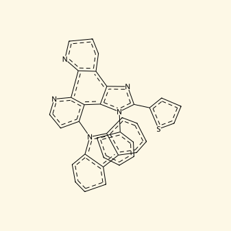 c1ccc(-n2c(-c3cccs3)nc3c4cccnc4c4nccc(-n5c6ccccc6c6ccccc65)c4c32)cc1